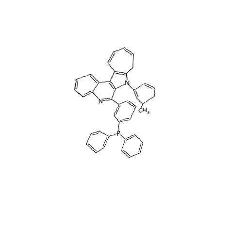 CC1C=C(n2c3c(c4c5ccccc5nc(-c5cccc(P(c6ccccc6)c6ccccc6)c5)c42)C=CC=CC3)C=CC1